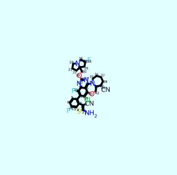 N#Cc1c(N)sc2c(F)ccc(-c3c(Cl)c4c5c(nc(OCC67CCCN6C[C@H](F)C7)nc5c3F)N3CCCCC(C#N)C3CO4)c12